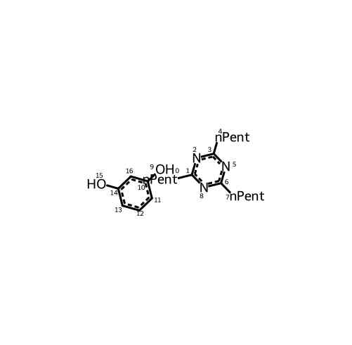 CCCCCc1nc(CCCCC)nc(CCCCC)n1.Oc1cccc(O)c1